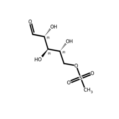 CS(=O)(=O)OC[C@@H](O)[C@@H](O)[C@@H](O)C=O